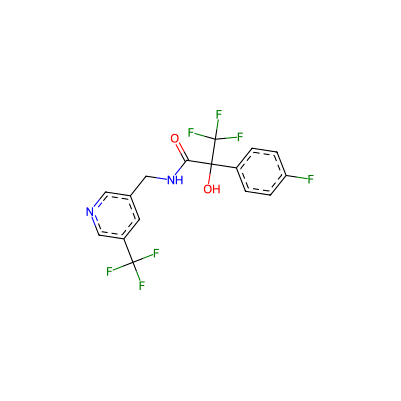 O=C(NCc1cncc(C(F)(F)F)c1)C(O)(c1ccc(F)cc1)C(F)(F)F